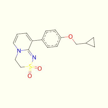 O=S1(=O)CCN2C=CC=C(c3ccc(OCC4CC4)cc3)C2=N1